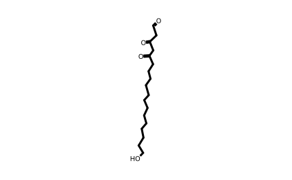 O=CCC(=O)CC(=O)CCCCCCCCCCCCCO